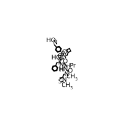 Cc1nc(CN(C)C(=O)N[C@H](C(=O)N[C@@H](Cc2ccccc2)[C@@H](O)CN(CC2CCC2)S(=O)(=O)c2ccc(C=NO)cc2)C(C)C)cs1